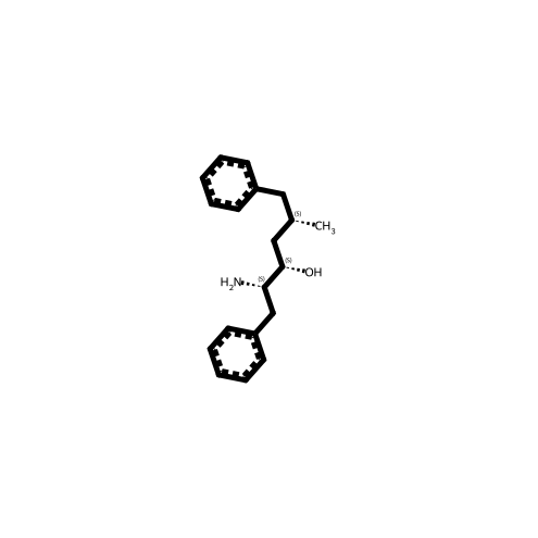 C[C@@H](Cc1ccccc1)C[C@H](O)[C@@H](N)Cc1ccccc1